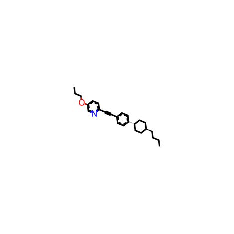 CCCC[C@H]1CC[C@H](c2ccc(C#Cc3ccc(OCCC)cn3)cc2)CC1